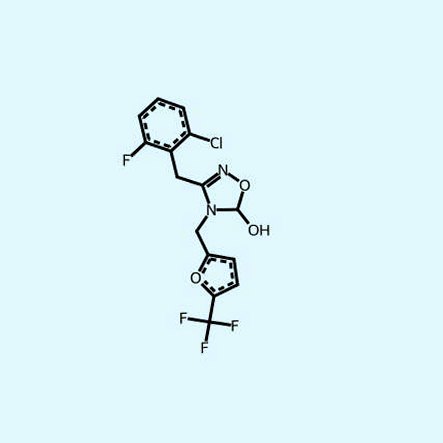 OC1ON=C(Cc2c(F)cccc2Cl)N1Cc1ccc(C(F)(F)F)o1